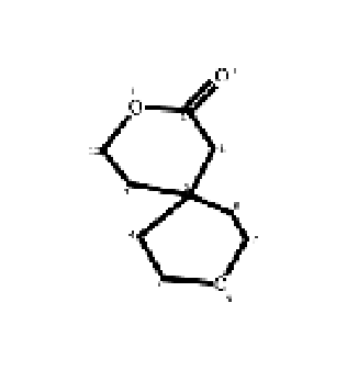 O=C1CC2(CCOCC2)CCO1